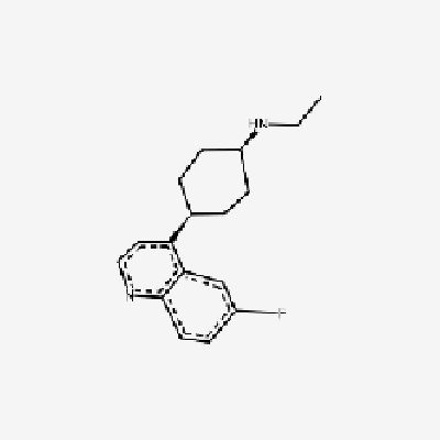 CCN[C@H]1CC[C@@H](c2ccnc3ccc(F)cc32)CC1